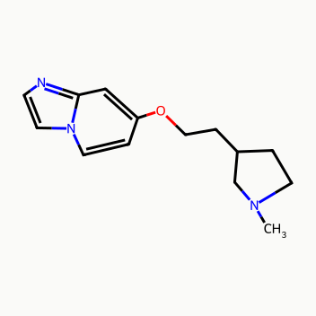 CN1CCC(CCOc2ccn3ccnc3c2)C1